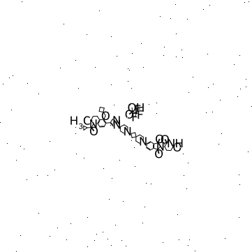 C[C@H]1CCc2c(ccc(-c3cnn(C4CCN(C5CC6(CCN(c7ccc8c(c7)C(=O)N(C7CCC(=O)NC7=O)C8=O)CC6)C5)CC4)c3)c2OC2CCC2)N1C(=O)C1CC1.O=C(O)C(F)(F)F